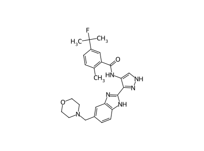 Cc1ccc(C(C)(C)F)cc1C(=O)Nc1c[nH]nc1-c1nc2cc(CN3CCOCC3)ccc2[nH]1